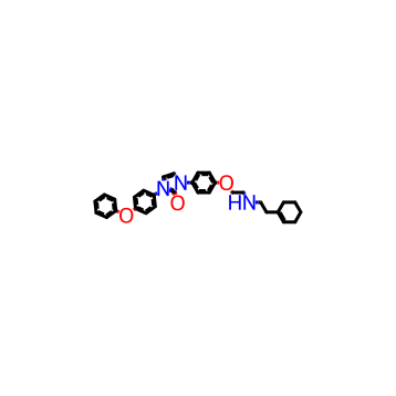 O=c1n(-c2ccc(OCCNCCC3=CCCCC3)cc2)ccn1-c1ccc(Oc2ccccc2)cc1